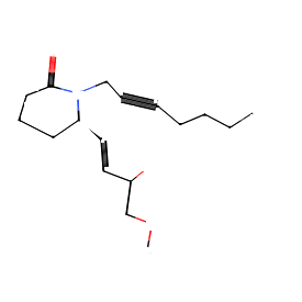 CCCOCC(O)/C=C/[C@H]1CCCC(=O)N1CC#CCCCC(=O)O